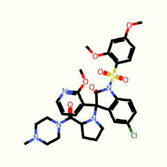 COc1ccc(S(=O)(=O)N2C(=O)C(c3cccnc3OC)(N3CCCC3C(=O)N3CCN(C)CC3)c3cc(Cl)ccc32)c(OC)c1